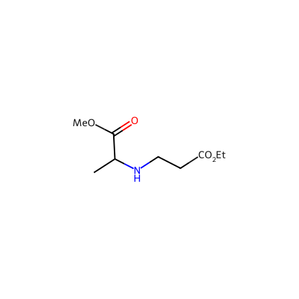 CCOC(=O)CCNC(C)C(=O)OC